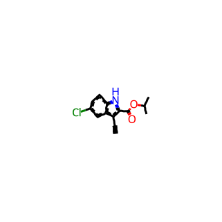 C#Cc1c(C(=O)OC(C)C)[nH]c2ccc(Cl)cc12